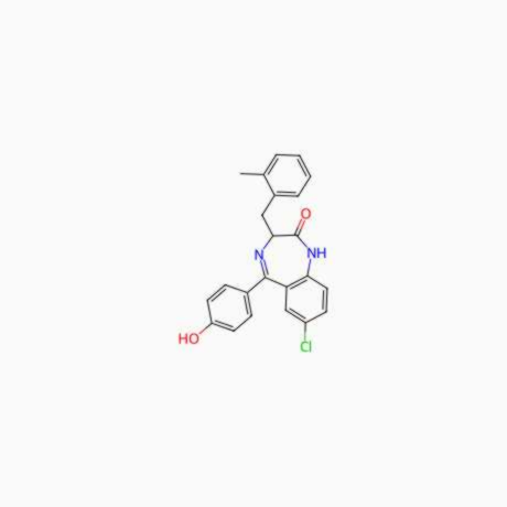 Cc1ccccc1CC1N=C(c2ccc(O)cc2)c2cc(Cl)ccc2NC1=O